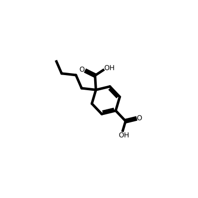 CCCCC1(C(=O)O)C=CC(C(=O)O)=CC1